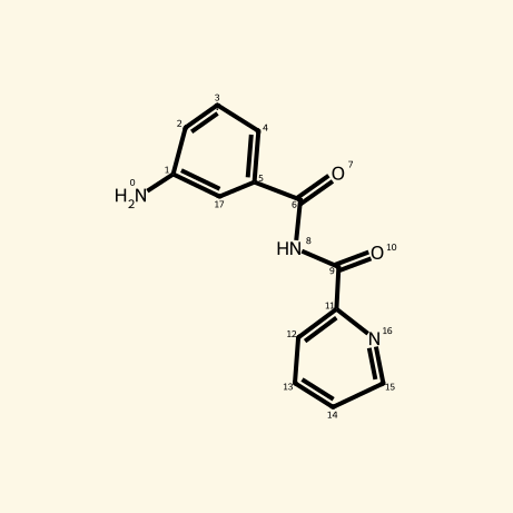 Nc1c[c]cc(C(=O)NC(=O)c2ccccn2)c1